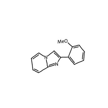 COc1ccccc1-c1cn2ccccc2n1